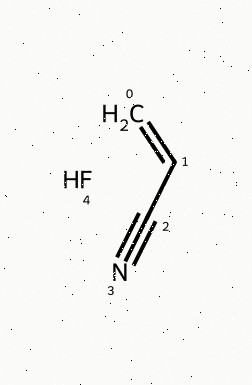 C=CC#N.F